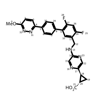 COc1ccc(-c2ccc(-c3cc(CNc4cnc([C@H]5C[C@@H]5C(=O)O)cn4)c(F)cc3F)cc2)nn1